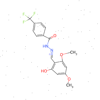 COc1cc(O)c(/C=N/NC(=O)c2ccc(C(F)(F)F)cc2)c(OC)c1